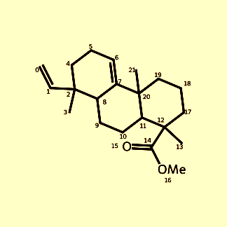 C=CC1(C)CCC=C2C1CCC1C(C)(C(=O)OC)CCCC21C